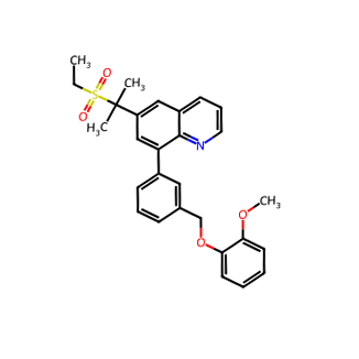 CCS(=O)(=O)C(C)(C)c1cc(-c2cccc(COc3ccccc3OC)c2)c2ncccc2c1